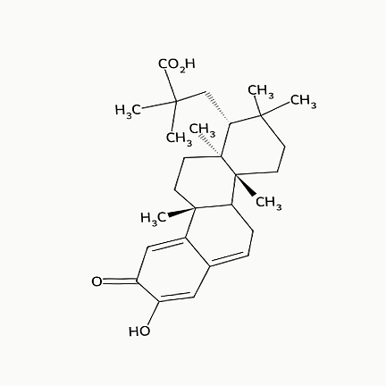 CC(C)(C[C@@H]1C(C)(C)CC[C@]2(C)C3CC=C4C=C(O)C(=O)C=C4[C@]3(C)CC[C@@]12C)C(=O)O